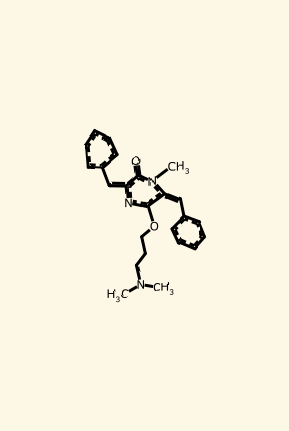 CN(C)CCCOc1nc(=Cc2ccccc2)c(=O)n(C)c1=Cc1ccccc1